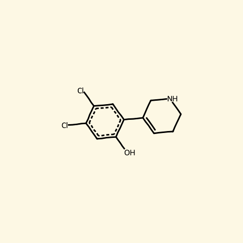 Oc1cc(Cl)c(Cl)cc1C1=CCCNC1